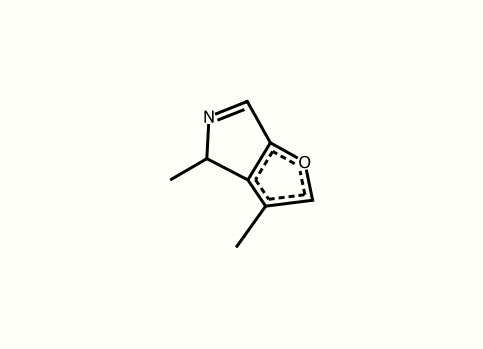 Cc1coc2c1C(C)N=C2